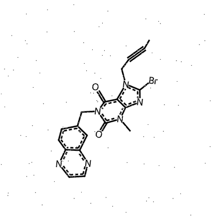 CC#CCn1c(Br)nc2c1c(=O)n(Cc1ccc3nccnc3c1)c(=O)n2C